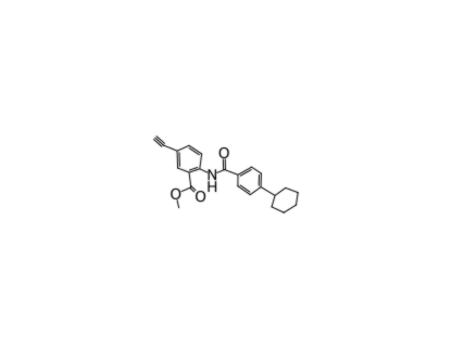 C#Cc1ccc(NC(=O)c2ccc(C3CCCCC3)cc2)c(C(=O)OC)c1